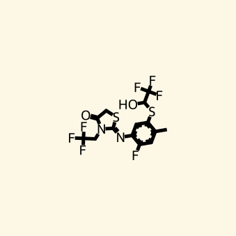 Cc1cc(F)c(/N=C2\SCC(=O)N2CC(F)(F)F)cc1SC(O)C(F)(F)F